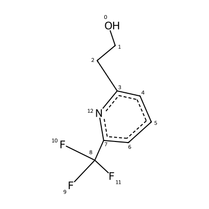 OCCc1cccc(C(F)(F)F)n1